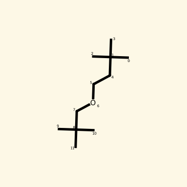 CC(C)(C)C[CH]OCC(C)(C)C